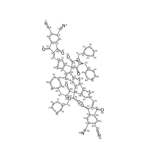 N#Cc1cc2c(cc1C#N)C(=O)C(=Cc1cc3c(s1)-c1sc4c5c(sc4c1C3(C(=O)OCc1ccccc1)C(=O)OCc1ccccc1)-c1sc(C=C3C(=O)c4cc(C#N)c(C#N)cc4C3=O)cc1C5(C(=O)OCc1ccccc1)C(=O)OCc1ccccc1)C2=O